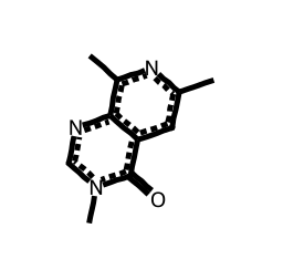 Cc1cc2c(=O)n(C)cnc2c(C)n1